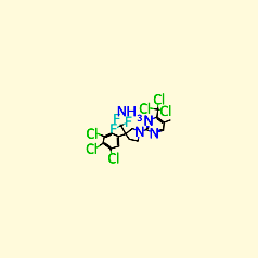 Cc1cnc(N2CCC(c3cc(Cl)c(Cl)c(Cl)c3)(C(F)(F)F)C2)nc1C(Cl)(Cl)Cl.N